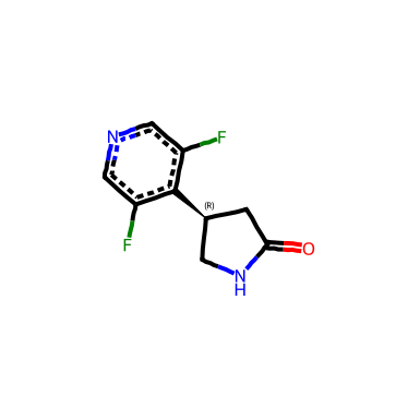 O=C1C[C@H](c2c(F)cncc2F)CN1